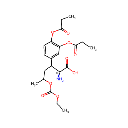 CCOC(=O)OC(C)CC(c1ccc(OC(=O)CC)c(OC(=O)CC)c1)[C@H](N)C(=O)O